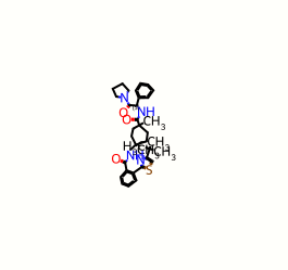 CC1(CNC(=O)c2ccccc2-c2nc(C(C)(C)C)cs2)CCC(C)(C(=O)N[C@H](C(=O)N2CCCC2)c2ccccc2)CC1